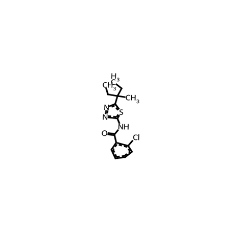 CCC(C)(CC)c1nnc(NC(=O)c2ccccc2Cl)s1